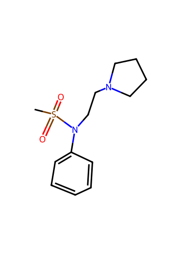 CS(=O)(=O)N(CCN1CCCC1)c1ccccc1